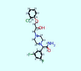 NC(=O)C(c1cc(F)cc(F)c1)N1CCN(CC(O)COc2ccccc2Cl)CC1